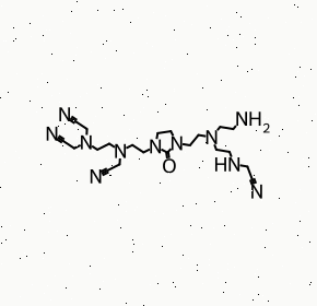 N#CCNCCN(CCN)CCN1CCN(CCN(CC#N)CCN(CC#N)CC#N)C1=O